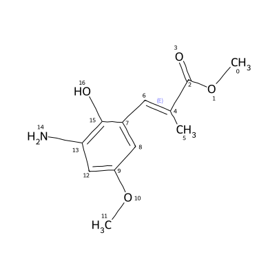 COC(=O)/C(C)=C/c1cc(OC)cc(N)c1O